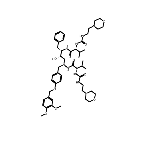 COc1ccc(COc2ccc(CN(C[C@H](O)[C@H](Cc3ccccc3)NC(=O)[C@@H](NC(=O)NCCN3CCOCC3)C(C)C)NC(=O)[C@@H](NC(=O)NCCN3CCOCC3)C(C)C)cc2)cc1OC